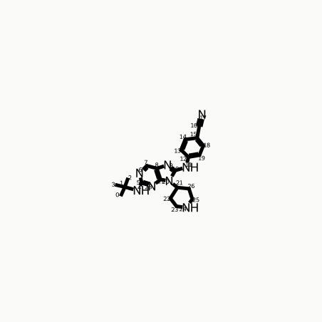 CC(C)(C)Nc1ncc2nc(Nc3ccc(C#N)cc3)n(C3CCNCC3)c2n1